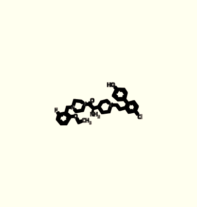 CCOc1cccc(F)c1CN1CCN(C(=O)[C@H](N)C2CCN(CCc3cc(Cl)ccc3-c3ccc(O)cc3)CC2)CC1